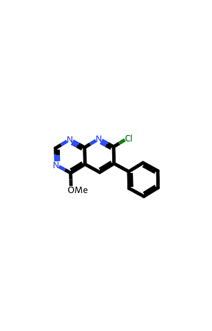 COc1ncnc2nc(Cl)c(-c3ccccc3)cc12